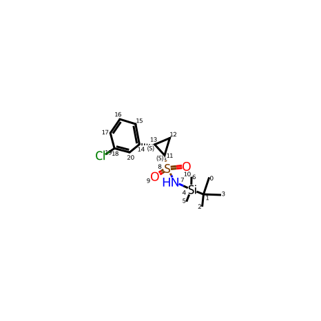 CC(C)(C)[Si](C)(C)NS(=O)(=O)[C@H]1C[C@H]1c1cccc(Cl)c1